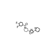 O=C(c1ccc(F)c(F)c1)N1CCC[C@H](c2nc(-c3ccccn3)co2)C1